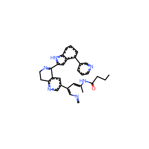 C=N/C=C(\C=C(/C)NC(=O)CCC)c1cnc2c(c1)C(c1cc3c(-c4cccnc4)cccc3[nH]1)=NCC2